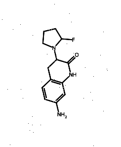 Nc1ccc2c(c1)NC(=O)C(N1CCCC1F)C2